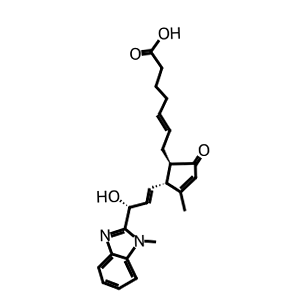 CC1=CC(=O)[C@H](CC=CCCCC(=O)O)[C@H]1C=C[C@@H](O)c1nc2ccccc2n1C